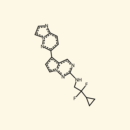 FC(F)(CNc1ncc2c(-c3ccc4nccn4n3)ccn2n1)C1CC1